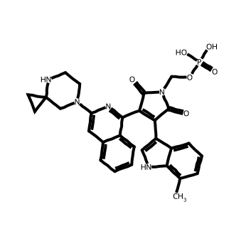 Cc1cccc2c(C3=C(c4nc(N5CCNC6(CC6)C5)cc5ccccc45)C(=O)N(COP(=O)(O)O)C3=O)c[nH]c12